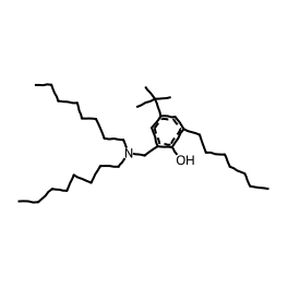 CCCCCCCCN(CCCCCCCC)Cc1cc(C(C)(C)C)cc(CCCCCCC)c1O